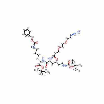 CC(C)(C)OC(=O)NCCCC[C@H](NC(=O)CCOCCOCCN=[N+]=[N-])C(=O)N[C@@H](CCCCNC(=O)OCc1ccccc1)C(=O)OC(C)(C)C